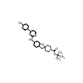 CC(C)(C)OC(=O)N1CCC(O)(Cc2ccc(Nc3nccc(-c4ccc(Cl)nc4)n3)cc2)CC1